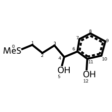 CSCCCC(O)c1ccccc1O